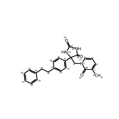 Cc1cccn(CC2(c3ccc(CCc4ccccc4)cc3)NC(=O)NC2=O)c1=O